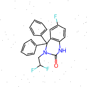 O=C1Nc2ccc(F)cc2C(c2ccccc2)(c2ccccc2)N1CC(F)F